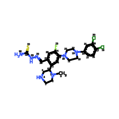 CN1CCNCC1c1cc(N2CCN(c3ccc(Cl)c(Cl)c3)CC2)c(F)cc1C=NNC(N)=S